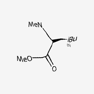 CC[C@H](C)C(NC)C(=O)OC